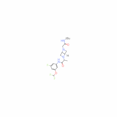 CC(C(=O)Nc1cc(F)cc(OC(F)F)c1)N1CC2[C@H]1CN2CC(=O)NC(C)(C)C